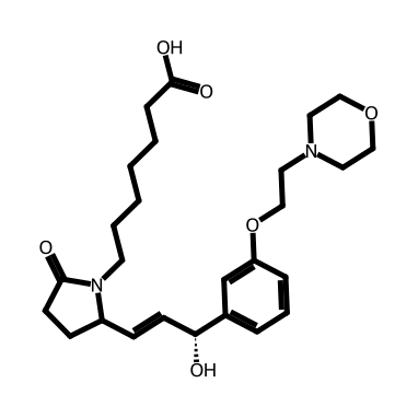 O=C(O)CCCCCCN1C(=O)CCC1/C=C/[C@@H](O)c1cccc(OCCN2CCOCC2)c1